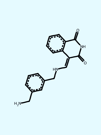 NCc1cccc(CN/C=C2/C(=O)NC(=O)c3ccccc32)c1